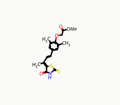 COC(=O)COc1c(C)cc(C=CC(C)=C2SC(=S)NC2=O)cc1C